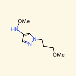 COCCCn1cc(NOC)cn1